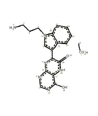 CC(=O)O.NCCCn1cc(-c2nc3ncnc(O)c3[nH]c2=O)c2ccccc21